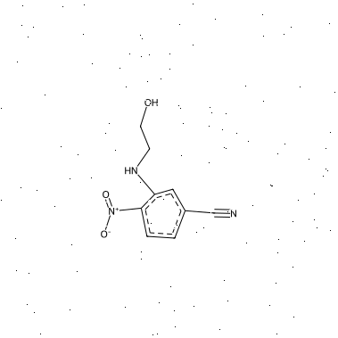 N#Cc1ccc([N+](=O)[O-])c(NCCO)c1